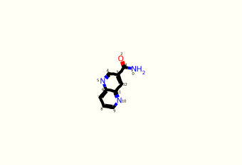 NC(=O)c1cnc2cccnc2c1